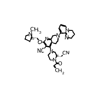 C=CC(=O)N1CCN(c2c(C#N)c(OC[C@@H]3CCCN3C)nc3c2CCN(C2=CC=CN4CCCN=C24)C3)C[C@@H]1CC#N